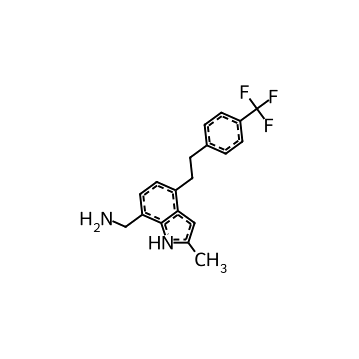 Cc1cc2c(CCc3ccc(C(F)(F)F)cc3)ccc(CN)c2[nH]1